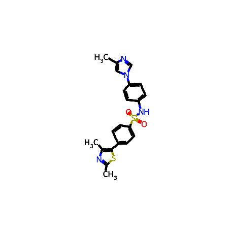 Cc1cn(-c2ccc(NS(=O)(=O)c3ccc(-c4sc(C)nc4C)cc3)cc2)cn1